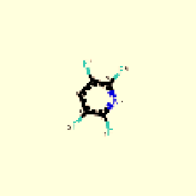 Fc1[c]c(F)c(F)nc1F